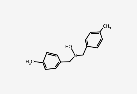 Cc1ccc(CN(O)Cc2ccc(C)cc2)cc1